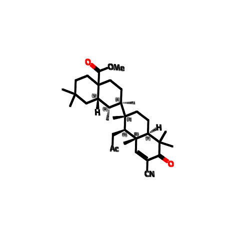 COC(=O)C12CCC(C)(C)C[C@H]1[C@@H](C)[C@](C)([C@]1(C)CC[C@H]3C(C)(C)C(=O)C(C#N)=C[C@]3(C)[C@H]1CC(C)=O)CC2